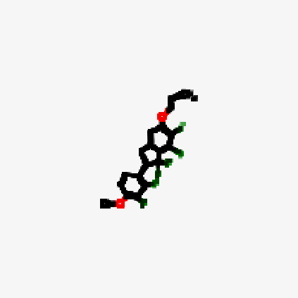 C=CCOc1cc2c(c(F)c1F)C(F)(F)C(c1ccc(OCC)c(F)c1F)C2